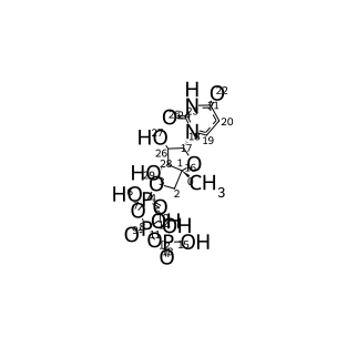 C[C@]1(COP(=O)(O)OP(=O)(O)OP(=O)(O)O)O[C@@H](n2ccc(=O)[nH]c2=O)C(O)[C@H]1O